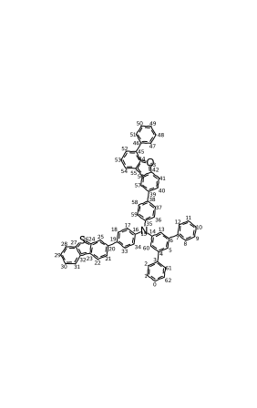 c1ccc(-c2cc(-c3ccccc3)cc(N(c3ccc(-c4ccc5c(c4)sc4ccccc45)cc3)c3ccc(-c4ccc5oc6c(-c7ccccc7)cccc6c5c4)cc3)c2)cc1